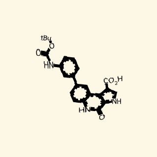 CC(C)(C)OC(=O)Nc1cccc(-c2ccc3[nH]c(=O)c4[nH]cc(C(=O)O)c4c3c2)c1